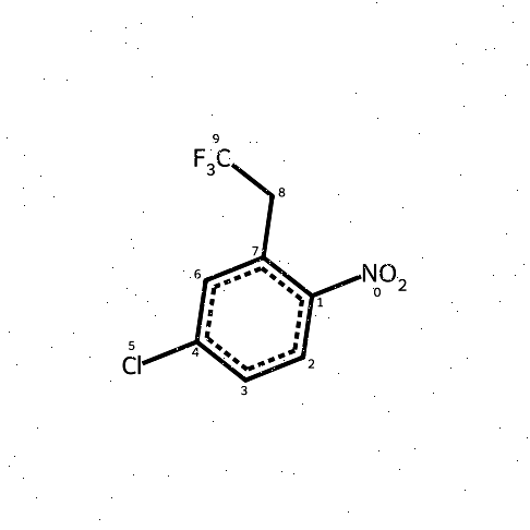 O=[N+]([O-])c1ccc(Cl)cc1CC(F)(F)F